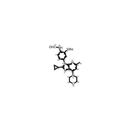 CSc1cc(-n2c(C3CC3)nc3c(N4CCOCC4)cc(C)nc32)ccc1NC=O